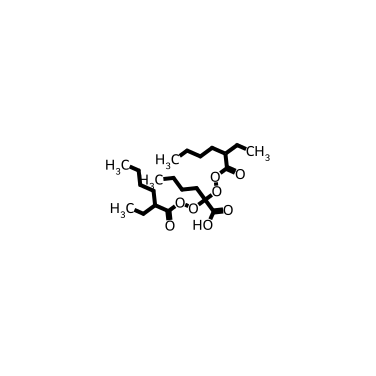 CCCCC(CC)C(=O)OOC(CCCC)(OOC(=O)C(CC)CCCC)C(=O)O